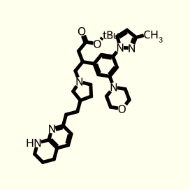 Cc1ccn(-c2cc(C(CC(=O)OC(C)(C)C)CN3CCC(CCc4ccc5c(n4)NCCC5)C3)cc(N3CCOCC3)c2)n1